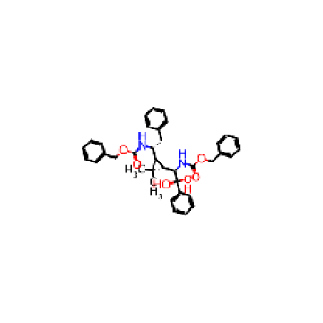 CC1(C)[C@@H]([C@@H](NC(=O)OCc2ccccc2)C(O)(O)c2ccccc2)[C@@H]1[C@@H](Cc1ccccc1)NC(=O)OCc1ccccc1